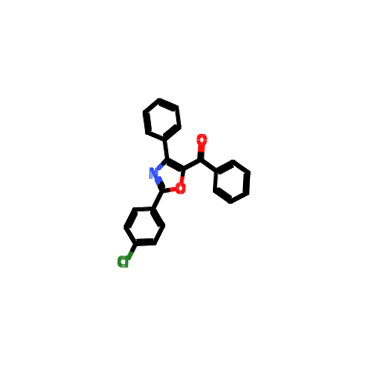 O=C(c1ccccc1)c1oc(-c2ccc(Cl)cc2)nc1-c1ccccc1